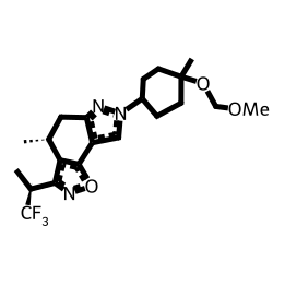 COCOC1(C)CCC(n2cc3c(n2)C[C@@H](C)c2c([C@H](C)C(F)(F)F)noc2-3)CC1